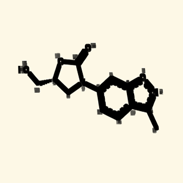 Cc1noc2cc(N3C[C@H](CO)OC3=O)ccc12